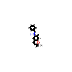 CCCC1(C)C=Cc2cc(NCc3ccccc3)c(C)cc2O1